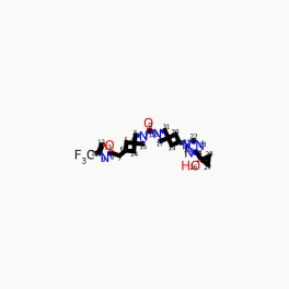 O=C(N1CC2(CC(Cc3nc(C(F)(F)F)co3)C2)C1)N1CC2(CC(n3cnc(C4(O)CC4)n3)C2)C1